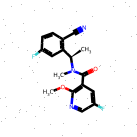 COc1ncc(F)cc1C(=O)N(C)[C@H](C)c1cc(F)ccc1C#N